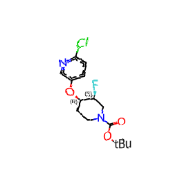 CC(C)(C)OC(=O)N1CC[C@@H](Oc2ccc(Cl)nc2)[C@@H](F)C1